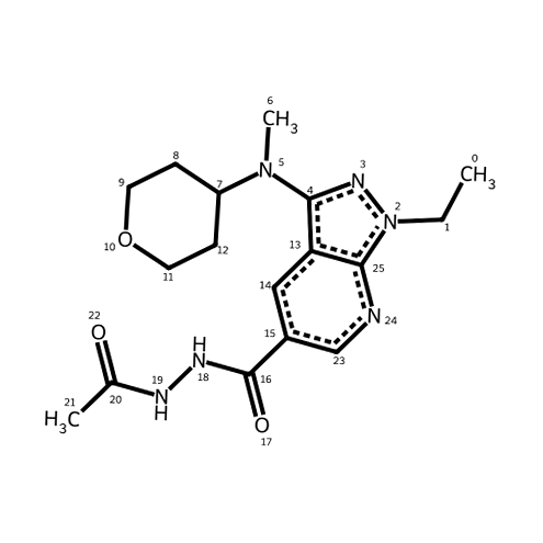 CCn1nc(N(C)C2CCOCC2)c2cc(C(=O)NNC(C)=O)cnc21